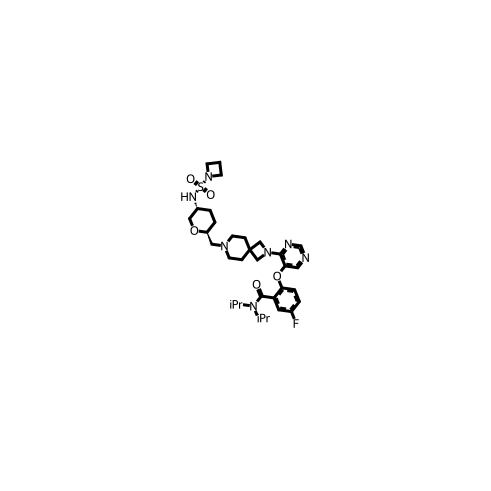 CC(C)N(C(=O)c1cc(F)ccc1Oc1cncnc1N1CC2(CCN(C[C@@H]3CC[C@@H](NS(=O)(=O)N4CCC4)CO3)CC2)C1)C(C)C